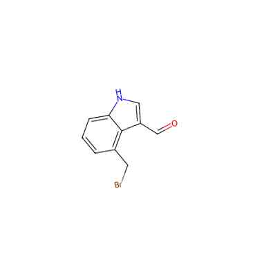 O=Cc1c[nH]c2cccc(CBr)c12